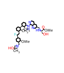 COC(=O)[C@@H](CO)NCc1cnc2c(Nc3cccc(-c4cccc(/C=C(\F)c5ccc(CN6CC(C)(O)C6)c(OC)c5)c4C)c3C)nccc2c1